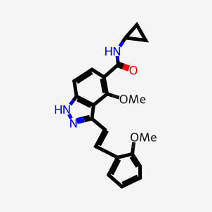 COc1ccccc1/C=C/c1n[nH]c2ccc(C(=O)NC3CC3)c(OC)c12